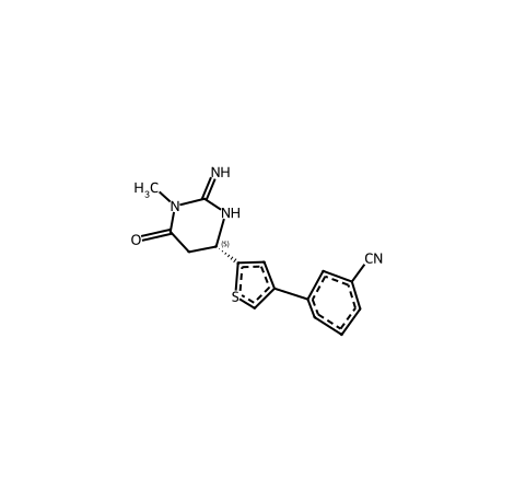 CN1C(=N)N[C@H](c2cc(-c3cccc(C#N)c3)cs2)CC1=O